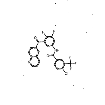 O=C(Nc1cc(F)c(F)c(C(=O)c2ccc3ncccc3c2)c1)c1ccc(Cl)c(C(F)(F)F)c1